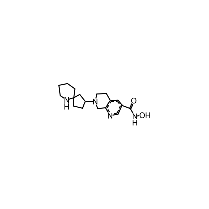 O=C(NO)c1cnc2c(c1)CCN(C1CCC3(CCCCN3)C1)C2